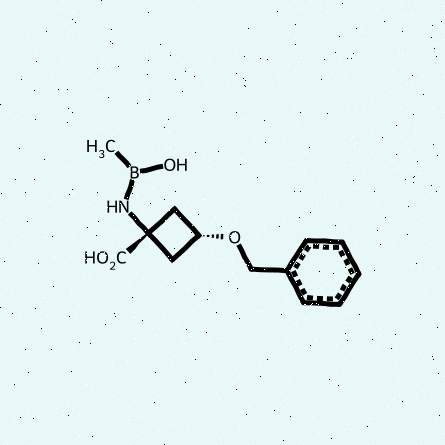 CB(O)N[C@]1(C(=O)O)C[C@H](OCc2ccccc2)C1